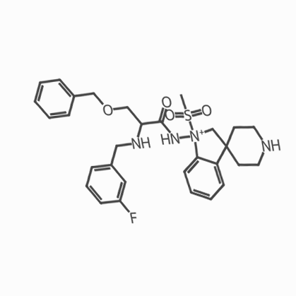 CS(=O)(=O)[N+]1(NC(=O)C(COCc2ccccc2)NCc2cccc(F)c2)CC2(CCNCC2)c2ccccc21